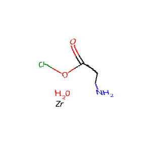 NCC(=O)OCl.O.[Zr]